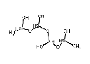 C[SiH](O)O[SiH](O)O[SiH](O)O[SiH](C)O